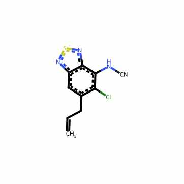 C=CCc1cc2nsnc2c(NC#N)c1Cl